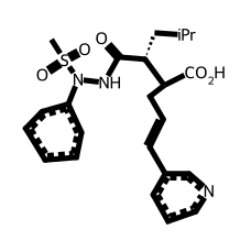 CC(C)C[C@@H](C(=O)NN(c1ccccc1)S(C)(=O)=O)C(CC=Cc1cccnc1)C(=O)O